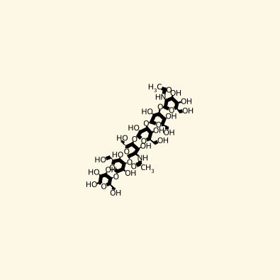 CC(=O)N[C@H]1[C@H](O[C@H]2[C@@H](O)[C@@H](CO)O[C@@H](O[C@H]3[C@H](O)[C@@H](O)[C@H](O)O[C@@H]3CO)[C@@H]2O)O[C@H](CO)[C@@H](O[C@@H]2O[C@H](CO)[C@H](O)[C@H](O[C@H]3O[C@H](CO)[C@H](O)[C@H](O[C@@H]4O[C@H](CO)[C@H](O)[C@H](O)[C@H]4NC(C)=O)[C@H]3O)[C@H]2O)[C@@H]1O